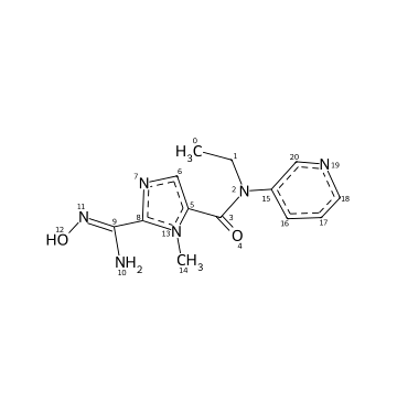 CCN(C(=O)c1cnc(C(N)=NO)n1C)c1cccnc1